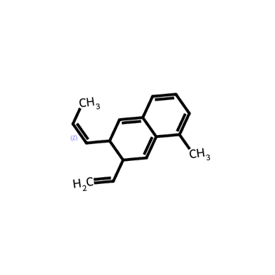 C=CC1C=c2c(C)cccc2=CC1/C=C\C